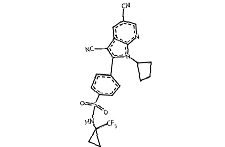 N#Cc1cnc2c(c1)c(C#N)c(-c1ccc(S(=O)(=O)NC3(C(F)(F)F)CC3)cc1)n2C1CCC1